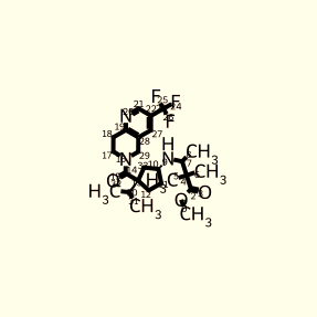 COC(=O)C(C)(C)C(C)N[C@@H]1CC[C@@](C(=O)N2CCc3ncc(C(F)(F)F)cc3C2)(C(C)C)C1